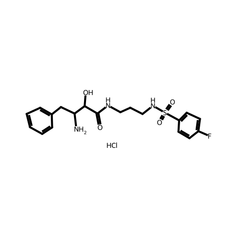 Cl.NC(Cc1ccccc1)C(O)C(=O)NCCCNS(=O)(=O)c1ccc(F)cc1